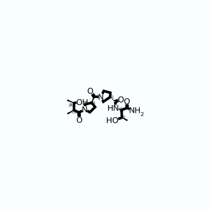 C[C@H](C(=O)N1CC[C@H](C(=O)N2CC[C@H](C(=O)N[C@H](C(N)=O)[C@@H](C)O)C2)C1)[C@@H](C)O